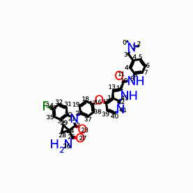 CN(C)Cc1cccc(NC(=O)c2cc3c(Oc4ccc(N(C(=O)C5(C(N)=O)CC5)c5ccc(F)cc5)cc4)ccnc3[nH]2)c1